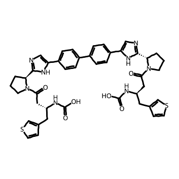 O=C(O)N[C@@H](CC(=O)N1CCC[C@H]1c1ncc(-c2ccc(-c3ccc(-c4cnc([C@@H]5CCCN5C(=O)C[C@@H](Cc5ccsc5)NC(=O)O)[nH]4)cc3)cc2)[nH]1)Cc1ccsc1